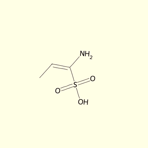 CC=C(N)S(=O)(=O)O